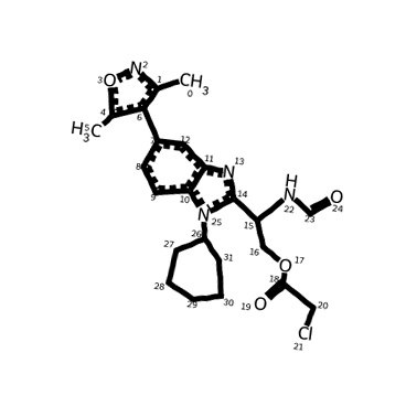 Cc1noc(C)c1-c1ccc2c(c1)nc(C(COC(=O)CCl)NC=O)n2C1CCCCC1